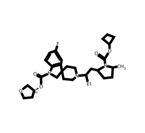 CCC(CC1CCC(C)N1C(=O)OC1CCC1)N1CCC2(CC1)CN(C(=O)O[C@@H]1CCOC1)c1ccc(F)cc12